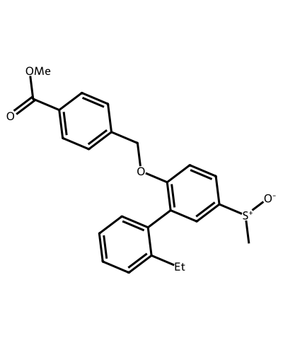 CCc1ccccc1-c1cc([S+](C)[O-])ccc1OCc1ccc(C(=O)OC)cc1